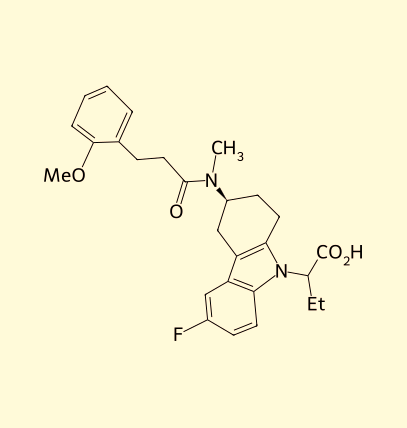 CCC(C(=O)O)n1c2c(c3cc(F)ccc31)C[C@@H](N(C)C(=O)CCc1ccccc1OC)CC2